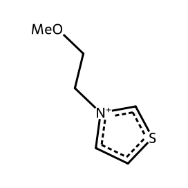 COCC[n+]1ccsc1